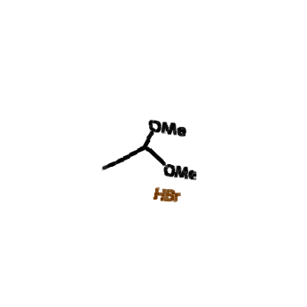 Br.COC(C)OC